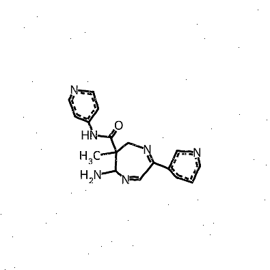 CC1(C(=O)Nc2ccncc2)CN=C(c2cccnc2)C=NC1N